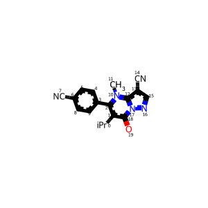 CC(C)c1c(-c2ccc(C#N)cc2)n(C)c2c(C#N)cnn2c1=O